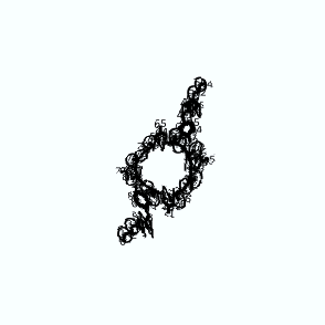 COCOc1cnn(Cc2ccc(C[C@H]3OC(=O)[C@H](CC(C)C)N(C)C(=O)[C@@H](C)OC(=O)[C@H](CC(C)C)N(C)C(=O)[C@@H](Cc4ccc(Cn5cc(OCOC)cn5)cc4)OC(=O)[C@H](CC(C)C)N(C)C(=O)[C@@H](C)OC(=O)[C@H](CC(C)C)N(C)C3=O)cc2)c1